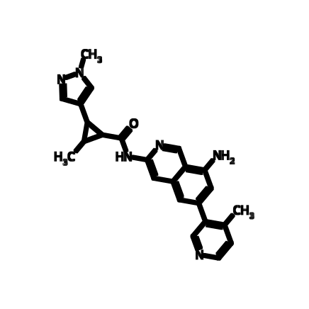 Cc1ccncc1-c1cc(N)c2cnc(NC(=O)C3C(C)C3c3cnn(C)c3)cc2c1